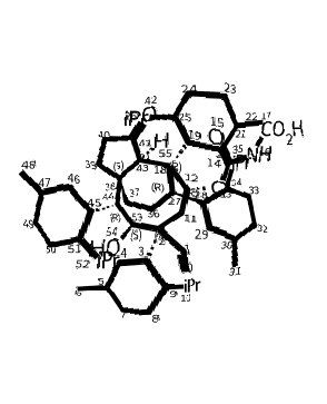 C=C[C@]1(C2CC(C)CCC2C(C)C)C[C@@H](OC(=O)NC(=O)O)[C@@]2(C3CC(C)CCC3C(C)C)[C@@H](C3CC(C)CCC3C(C)C)CC[C@]3(CCC(=O)[C@H]32)[C@@H](C2CC(C)CCC2C(C)C)[C@@H]1O